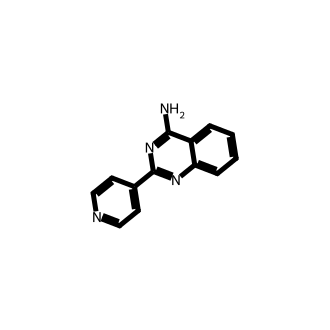 Nc1nc(-c2ccncc2)nc2ccccc12